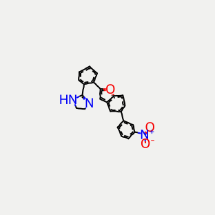 O=[N+]([O-])c1cccc(-c2ccc3oc(-c4ccccc4C4=NCCN4)cc3c2)c1